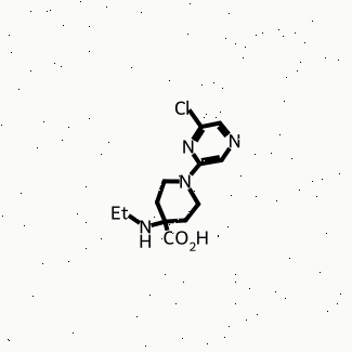 CCNC1(C(=O)O)CCN(c2cncc(Cl)n2)CC1